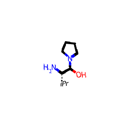 CC(C)[C@H](N)C(O)N1CCCC1